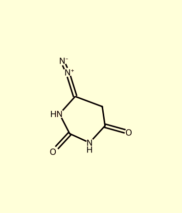 [N-]=[N+]=C1CC(=O)NC(=O)N1